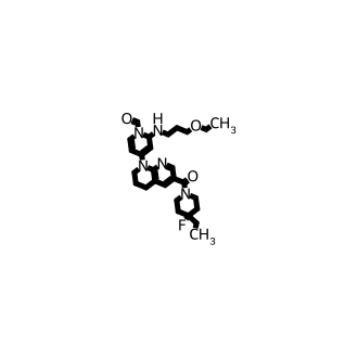 CCOCCCNC1C=C(N2CCCc3cc(C(=O)N4CCC(F)(CC)CC4)cnc32)C=CN1C=O